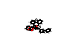 c1ccc(-c2nc(-c3ccc4sc5ccccc5c4c3)nc(-c3cccc4oc5cccc(-c6cccc7sc8ccccc8c67)c5c34)n2)cc1